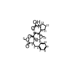 COC(=O)C(Cc1ccccc1)NC(=O)[C@H](C)[C@@H](OC)C1CCCN1C(=O)O